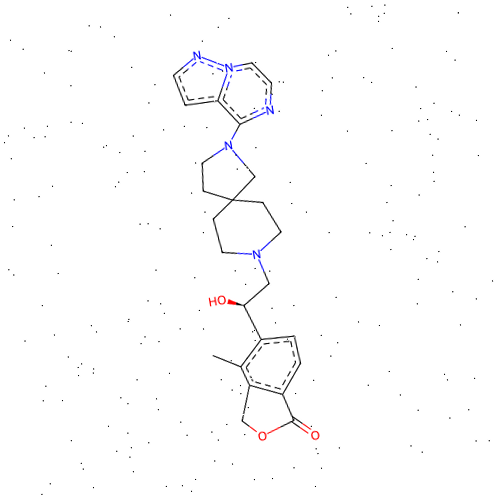 Cc1c([C@@H](O)CN2CCC3(CC2)CCN(c2nccn4nccc24)C3)ccc2c1COC2=O